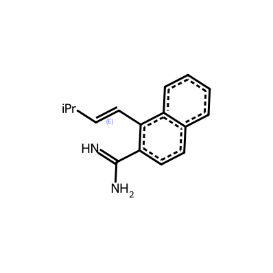 CC(C)/C=C/c1c(C(=N)N)ccc2ccccc12